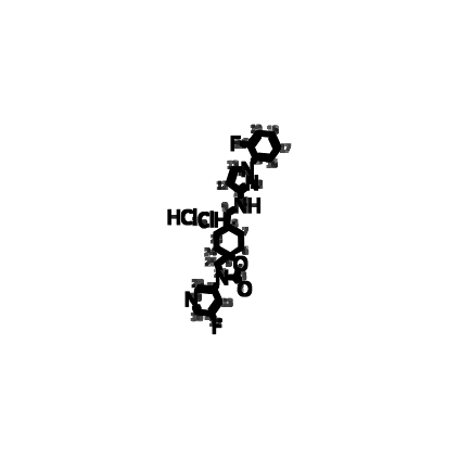 Cl.Cl.O=C1O[C@]2(CC[C@H](CNc3ccn(-c4ccccc4F)n3)CC2)CN1c1cncc(F)c1